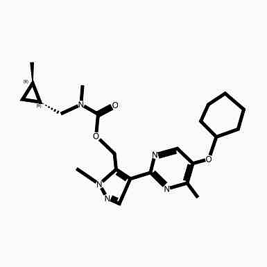 Cc1nc(-c2cnn(C)c2COC(=O)N(C)C[C@@H]2C[C@H]2C)ncc1OC1CCCCC1